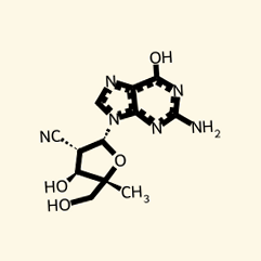 C[C@]1(CO)O[C@@H](n2cnc3c(O)nc(N)nc32)[C@@H](C#N)[C@@H]1O